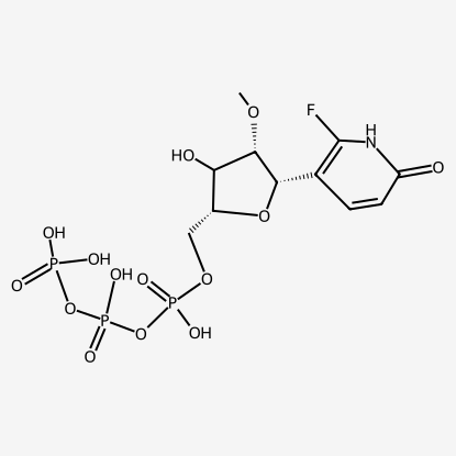 CO[C@H]1C(O)[C@@H](COP(=O)(O)OP(=O)(O)OP(=O)(O)O)O[C@H]1c1ccc(=O)[nH]c1F